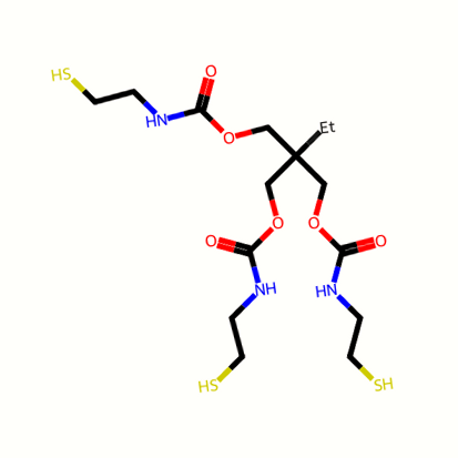 CCC(COC(=O)NCCS)(COC(=O)NCCS)COC(=O)NCCS